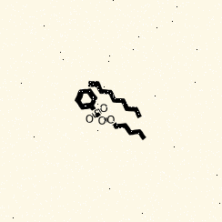 C=CCCCCCCC.CCCCCOOS(=O)(=O)c1ccccc1